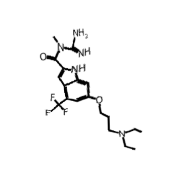 CCN(CC)CCCOc1cc(C(F)(F)F)c2cc(C(=O)N(C)C(=N)N)[nH]c2c1